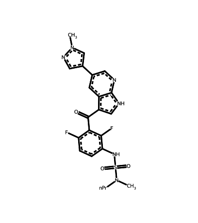 CCCN(C)S(=O)(=O)Nc1ccc(F)c(C(=O)c2c[nH]c3ncc(-c4cnn(C)c4)cc23)c1F